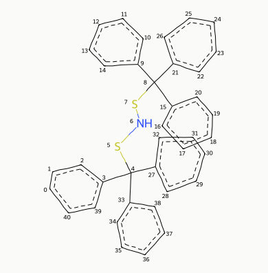 c1ccc(C(SNSC(c2ccccc2)(c2ccccc2)c2ccccc2)(c2ccccc2)c2ccccc2)cc1